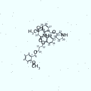 COc1ccccc1COCCCOc1ccc(C2CCNCC2OCc2cccc3c2NC(=O)CC3(C)C)cc1